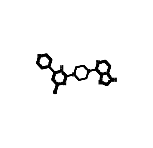 O=c1cc(-c2ccncc2)[nH]c(N2CCN(c3nccc4[nH]cnc34)CC2)n1